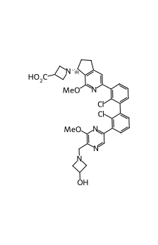 COc1nc(-c2cccc(-c3cccc(-c4cc5c(c(OC)n4)[C@H](N4CC(C(=O)O)C4)CC5)c3Cl)c2Cl)cnc1CN1CC(O)C1